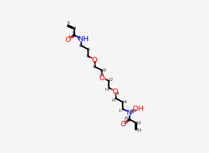 C=CC(=O)NCCCOCCOCCOCCCN(O)C(=O)C=C